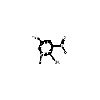 Cc1cc([N+](=O)[O-])c(C)[n+]([O-])c1